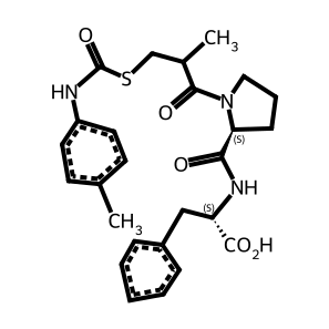 Cc1ccc(NC(=O)SCC(C)C(=O)N2CCC[C@H]2C(=O)N[C@@H](Cc2ccccc2)C(=O)O)cc1